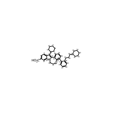 O=C(O)c1ccc2c(C3CCCCC3)c3n(c2c1)CCOc1c(-c2ccccc2CCCN2CCCCC2)cccc1-3